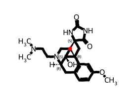 COc1ccc2c(c1)[C@]13CCN(CCN(C)C)[C@H](C2)[C@]1(O)CC[C@@]1(C3)NC(=O)NC1=O